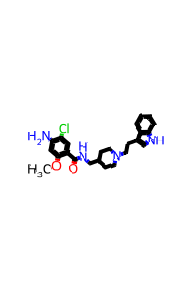 COc1cc(N)c(Cl)cc1C(=O)NCC1CCN(CCc2c[nH]c3ccccc23)CC1